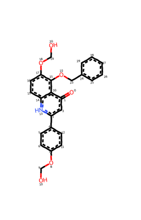 O=c1cc(-c2ccc(OCO)cc2)[nH]c2ccc(OCO)c(OCc3ccccc3)c12